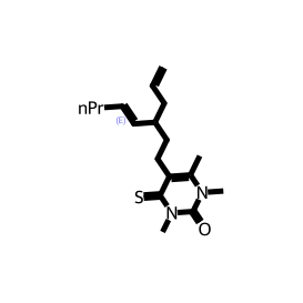 C=CCC(/C=C/CCC)CCc1c(C)n(C)c(=O)n(C)c1=S